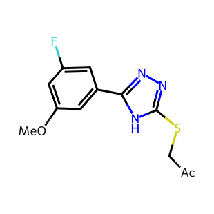 COc1cc(F)cc(-c2nnc(SCC(C)=O)[nH]2)c1